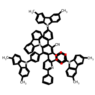 Cc1ccc2c(c1)c1cc(C)ccc1n2-c1ccc(-c2c(C#N)c(-c3ccc(-n4c5ccc(C)cc5c5cc(C)ccc54)cc3)c(-n3c4ccccc4c4ccccc43)c(-c3ccc(-n4c5ccc(C)cc5c5cc(C)ccc54)cc3)c2-c2ccc(-c3ccccc3)nc2-c2ccccc2)cc1